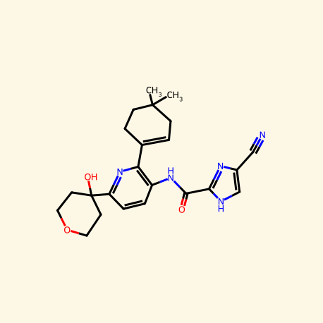 CC1(C)CC=C(c2nc(C3(O)CCOCC3)ccc2NC(=O)c2nc(C#N)c[nH]2)CC1